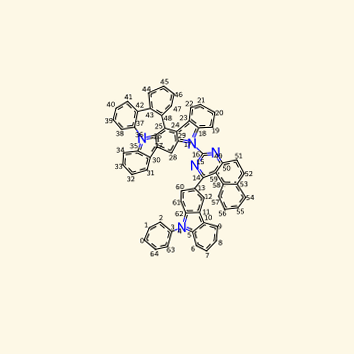 c1ccc(-n2c3ccccc3c3cc(-c4nc(-n5c6ccccc6c6c7c8c(cc65)c5ccccc5n8-c5ccccc5-c5ccccc5-7)nc5ccc6ccccc6c45)ccc32)cc1